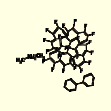 CC[NH2+]C.Fc1ccc2[c]([Al-]([c]3c(F)c(F)c(F)c4c(F)c(F)ccc34)([c]3c(F)c(F)c(F)c4c(F)c(F)ccc34)[c]3c(F)c(F)c(F)c4c(F)c(F)ccc34)c(F)c(F)c(F)c2c1F.c1ccc(-c2ccccc2)cc1